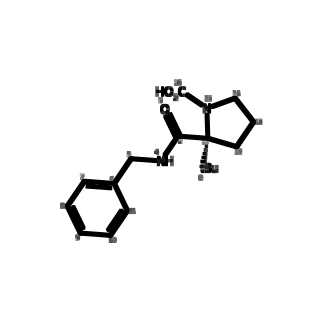 CC(C)(C)[C@@]1(C(=O)NCc2ccccc2)CCCN1C(=O)O